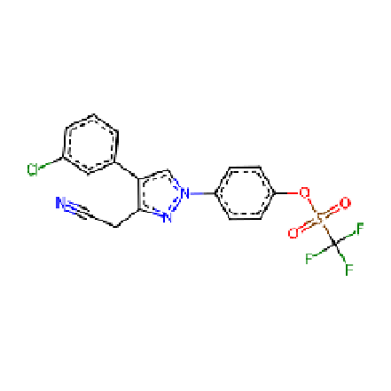 N#CCc1nn(-c2ccc(OS(=O)(=O)C(F)(F)F)cc2)cc1-c1cccc(Cl)c1